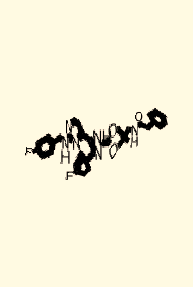 CC1(CNC(=O)Cc2ccccc2)COC(c2nc(-c3ccc(F)cc3)c(-c3ccnc(NCc4ccc(F)cc4)n3)[nH]2)OC1